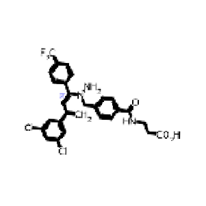 C=C(/C=C(/c1ccc(C(F)(F)F)cc1)N(N)Cc1ccc(C(=O)NCCC(=O)O)cc1)c1cc(Cl)cc(Cl)c1